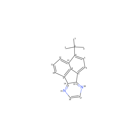 CC(C)(C)c1ccc2c3c(cccc13)-c1nccnc1-2